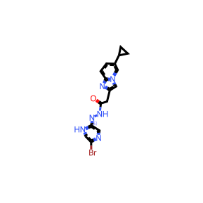 O=C(Cc1cn2cc(C3CC3)ccc2n1)N/N=c1\cnc(Br)c[nH]1